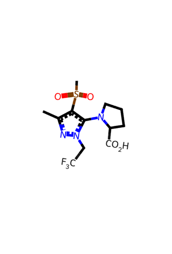 Cc1nn(CC(F)(F)F)c(N2CCCC2C(=O)O)c1S(C)(=O)=O